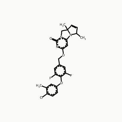 Cc1cc(Oc2c(F)cc(COc3cc4n(c(=O)n3)CC3(C)C=CC(C)N43)cc2F)ccc1Cl